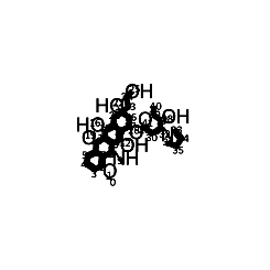 COc1cccc2c1C(=N)c1c(O)c3c(c(O)c1C2=O)C[C@@](O)(CCO)C[C@@H]3OC1CC(N2C=CCC2)C(O)C(C)O1